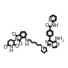 Nc1nccn2c([C@@H]3CCCN3CCCCCNc3cccc4c3C(=O)N(C3CCC(=O)NC3=O)C4=O)nc(-c3ccc(C(=O)Nc4ccccn4)cc3)c12